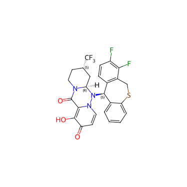 O=C1c2c(O)c(=O)ccn2N([C@@H]2c3ccccc3SCc3c2ccc(F)c3F)[C@@H]2C[C@@H](C(F)(F)F)CCN12